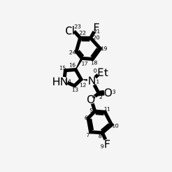 CCN(C(=O)Oc1ccc(F)cc1)[C@@H]1CNC[C@H]1c1ccc(F)c(Cl)c1